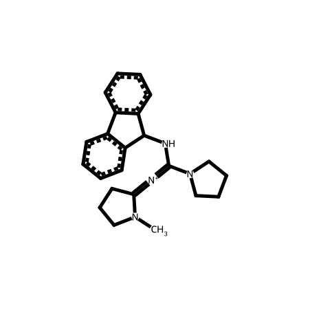 CN1CCCC1=[N+]=C(NC1c2ccccc2-c2ccccc21)N1CCCC1